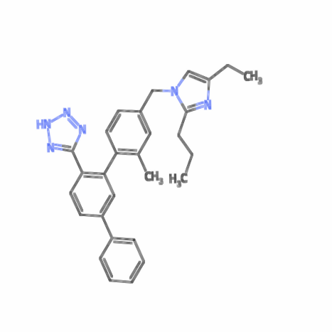 CCCc1nc(CC)cn1Cc1ccc(-c2cc(-c3ccccc3)ccc2-c2nn[nH]n2)c(C)c1